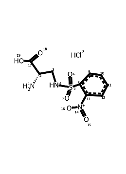 Cl.N[C@@H](CNS(=O)(=O)c1ccccc1[N+](=O)[O-])C(=O)O